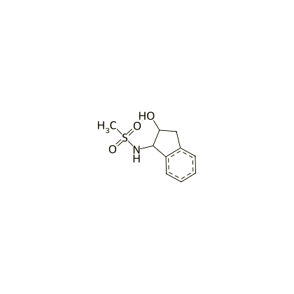 CS(=O)(=O)NC1c2ccccc2CC1O